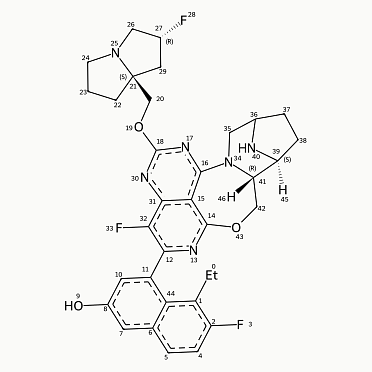 CCc1c(F)ccc2cc(O)cc(-c3nc4c5c(nc(OC[C@@]67CCCN6C[C@H](F)C7)nc5c3F)N3CC5CC[C@H](N5)[C@@H]3CO4)c12